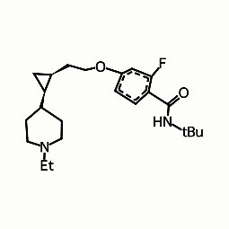 CCN1CCC([C@H]2C[C@H]2CCOc2ccc(C(=O)NC(C)(C)C)c(F)c2)CC1